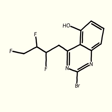 Oc1cccc2nc(Br)nc(CC(F)C(F)CF)c12